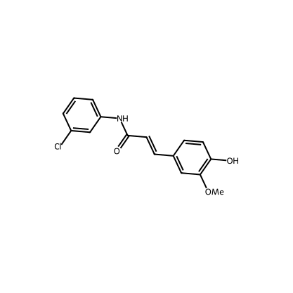 COc1cc(/C=C/C(=O)Nc2cccc(Cl)c2)ccc1O